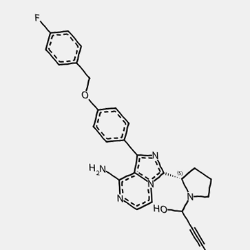 CC#CC(O)N1CCC[C@H]1c1nc(-c2ccc(OCc3ccc(F)cc3)cc2)c2c(N)nccn12